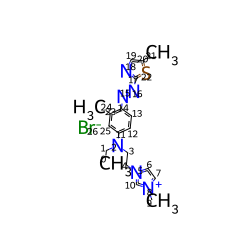 CCN(CCn1cc[n+](C)c1)c1ccc(/N=N/c2ncc(C)s2)c(C)c1.[Br-]